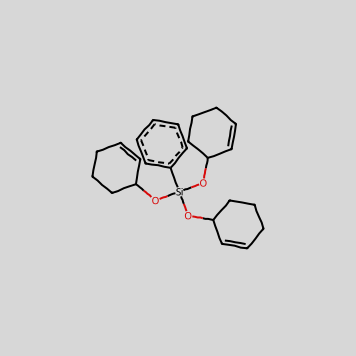 C1=CC(O[Si](OC2C=CCCC2)(OC2C=CCCC2)c2ccccc2)CCC1